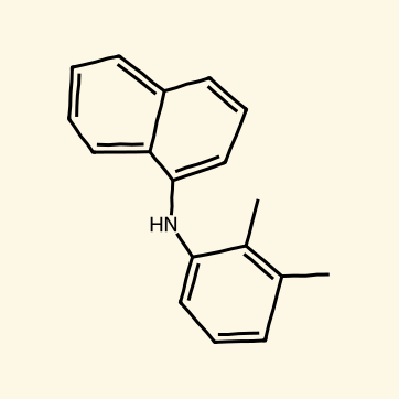 Cc1cccc(Nc2cccc3ccccc23)c1C